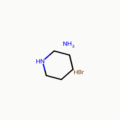 Br.C1CCNCC1.N